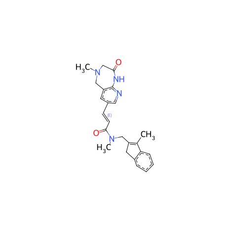 CC1=C(CN(C)C(=O)/C=C/c2cnc3c(c2)CN(C)CC(=O)N3)Cc2ccccc21